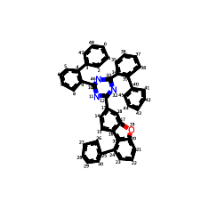 c1ccc(-c2ccccc2-c2nc(-c3ccc4c(c3)oc3cccc(-c5ccccc5)c34)nc(-c3ccccc3-c3ccccc3)n2)cc1